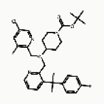 Cc1cc(Cl)cnc1CN(Cc1ncccc1C(C)(C)c1ccc(F)cc1)C1CCN(C(=O)OC(C)(C)C)CC1